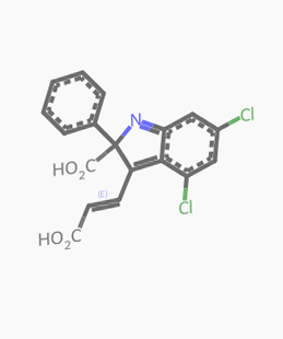 O=C(O)/C=C/C1=c2c(Cl)cc(Cl)cc2=NC1(C(=O)O)c1ccccc1